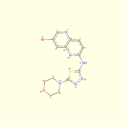 Brc1cnc2ccc(Nc3nnc(N4CCOCC4)s3)nc2c1